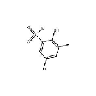 Cc1cc(Br)cc(S(=O)(=O)Cl)c1O